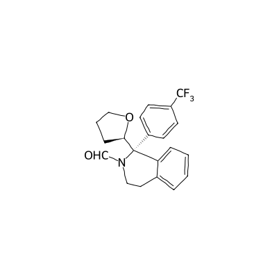 O=CN1CCc2ccccc2[C@]1(c1ccc(C(F)(F)F)cc1)[C@H]1CCCO1